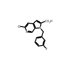 O=C(O)c1cc2cc(Cl)ncc2n1Cc1cccc(F)c1